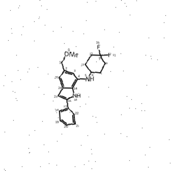 COCc1cc(NC2CCC(F)(F)CC2)c2[nH]c(-c3ccccc3)cc2c1